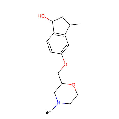 CC1CC(O)c2ccc(OCC3CN(C(C)C)CCO3)cc21